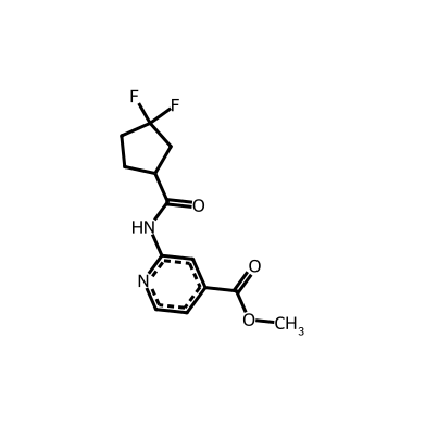 COC(=O)c1ccnc(NC(=O)C2CCC(F)(F)C2)c1